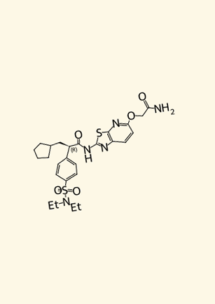 CCN(CC)S(=O)(=O)c1ccc([C@@H](CC2CCCC2)C(=O)Nc2nc3ccc(OCC(N)=O)nc3s2)cc1